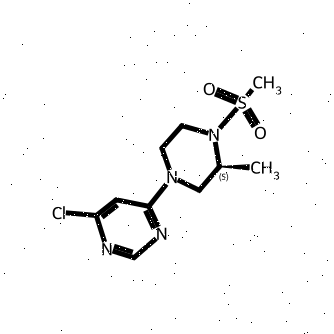 C[C@H]1CN(c2cc(Cl)ncn2)CCN1S(C)(=O)=O